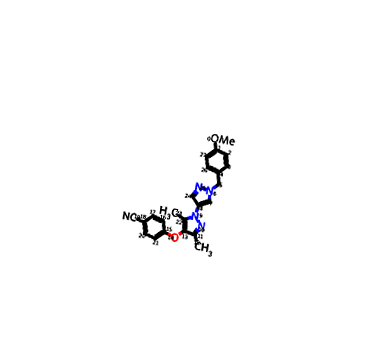 COc1ccc(Cn2cc(-n3nc(C)c(Oc4ccc(C#N)cc4)c3C)cn2)cc1